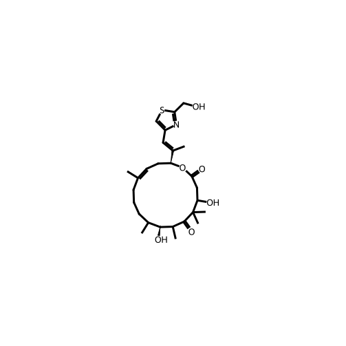 C/C1=C/C[C@@H](/C(C)=C/c2csc(CO)n2)OC(=O)CC(O)C(C)(C)C(=O)C(C)[C@@H](O)C(C)CCC1